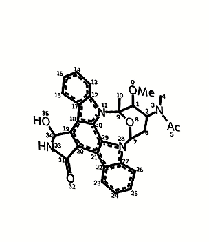 COC1C(N(C)C(C)=O)CC2OC1(C)n1c3ccccc3c3c4c(c5c6ccccc6n2c5c31)C(=O)NC4O